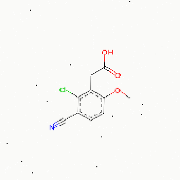 COc1ccc(C#N)c(Cl)c1CC(=O)O